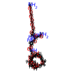 C=C1C[C@@H]2CC[C@@]34C[C@H]5OC6C(O[C@H]7CC[C@H](CC(=O)C[C@@H]8[C@@H](OC)[C@@H](C[C@H](O)CNC(=O)OCc9ccc(NC(=O)[C@H](CCCNC(N)=O)NC(=O)[C@@H](CC(=O)CCOCCOCCOCCOCCOCCOCCN)C(C)C)cc9)O[C@H]8C[C@H]8O[C@@H](CC[C@@H]1O2)C[C@@H](C)C8=C)O[C@@H]7[C@@H]6O3)[C@H]5O4